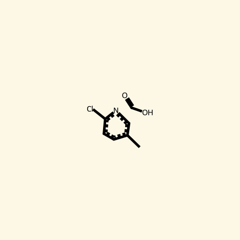 Cc1ccc(Cl)nc1.O=CO